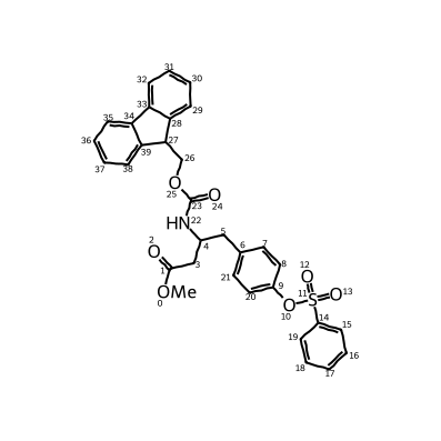 COC(=O)CC(Cc1ccc(OS(=O)(=O)c2ccccc2)cc1)NC(=O)OCC1c2ccccc2-c2ccccc21